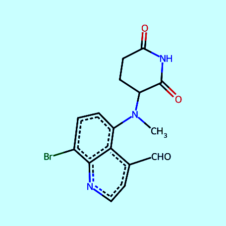 CN(c1ccc(Br)c2nccc(C=O)c12)C1CCC(=O)NC1=O